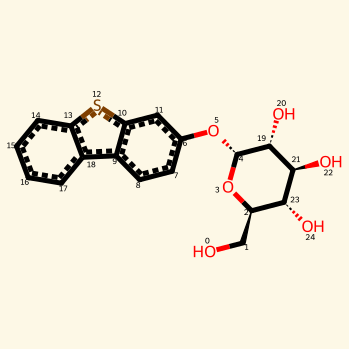 OC[C@H]1O[C@H](Oc2ccc3c(c2)sc2ccccc23)[C@H](O)[C@@H](O)[C@@H]1O